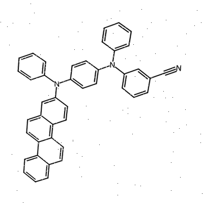 N#Cc1cccc(N(c2ccccc2)c2ccc(N(c3ccccc3)c3ccc4c(ccc5c6ccccc6ccc45)c3)cc2)c1